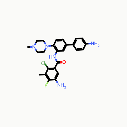 Cc1c(F)c(N)cc(C(=O)Nc2cc(-c3ccc(N)cc3)ccc2N2CCN(C)CC2)c1Cl